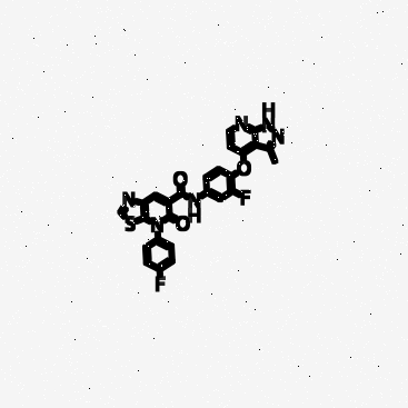 Cc1n[nH]c2nccc(Oc3ccc(NC(=O)c4cc5ncsc5n(-c5ccc(F)cc5)c4=O)cc3F)c12